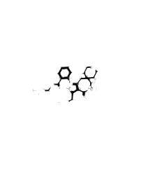 CCOC(=O)c1ccccc1-n1nc(CC)c2c1CC1(CCOCC1)CNC2=O